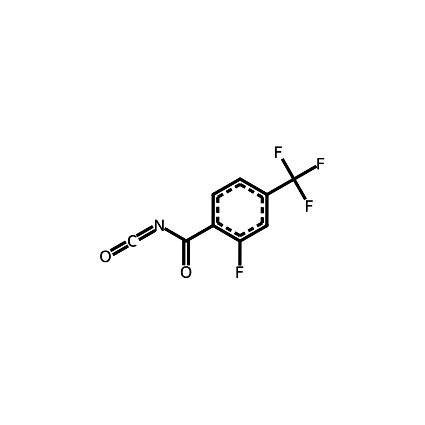 O=C=NC(=O)c1ccc(C(F)(F)F)cc1F